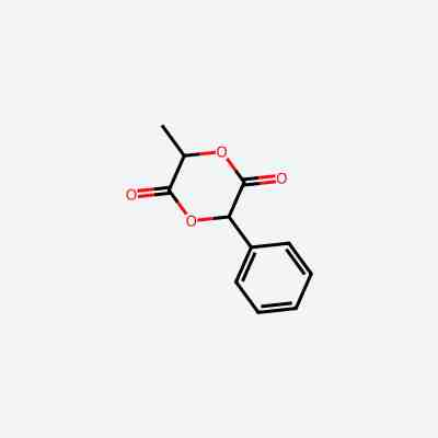 CC1OC(=O)C(c2ccccc2)OC1=O